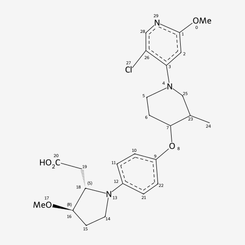 COc1cc(N2CCC(Oc3ccc(N4CC[C@@H](OC)[C@@H]4CC(=O)O)cc3)C(C)C2)c(Cl)cn1